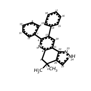 CC1(C)Cc2nc(-c3cc[c]cc3)c(-c3ccccc3)cc2-c2n[nH]cc21